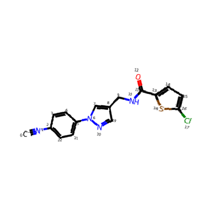 [C-]#[N+]c1ccc(-n2cc(CNC(=O)c3ccc(Cl)s3)cn2)cc1